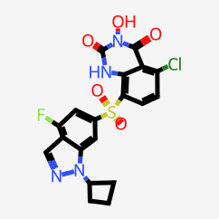 O=c1[nH]c2c(S(=O)(=O)c3cc(F)c4cnn(C5CCC5)c4c3)ccc(Cl)c2c(=O)n1O